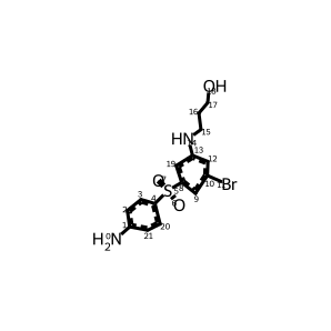 Nc1ccc(S(=O)(=O)c2cc(Br)cc(NCCCO)c2)cc1